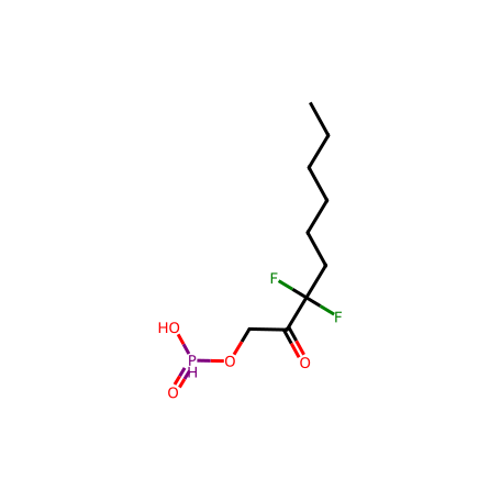 CCCCCCC(F)(F)C(=O)CO[PH](=O)O